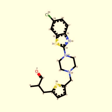 CC(C=O)Cc1ccc(CN2CCN(c3nc4ccc(Cl)cc4s3)CC2)s1